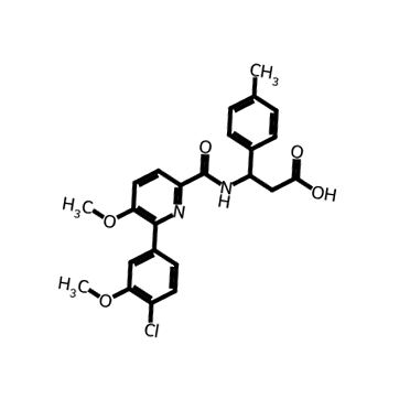 COc1cc(-c2nc(C(=O)NC(CC(=O)O)c3ccc(C)cc3)ccc2OC)ccc1Cl